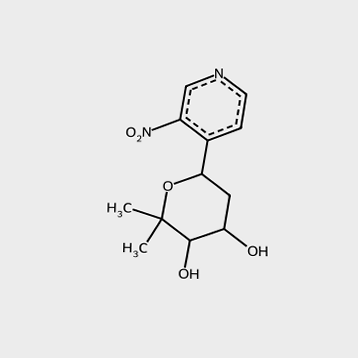 CC1(C)OC(c2ccncc2[N+](=O)[O-])CC(O)C1O